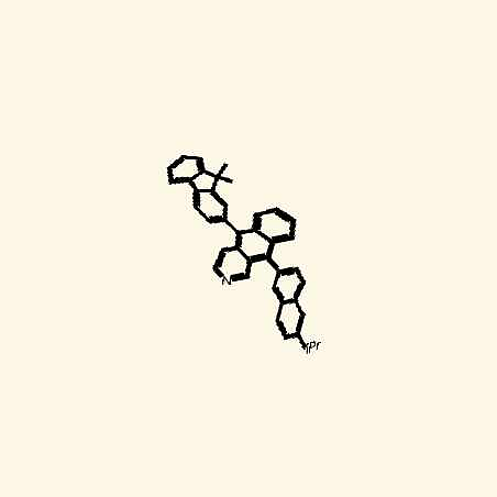 CC(C)c1ccc2cc(-c3c4ccccc4c(-c4ccc5c(c4)C(C)(C)c4ccccc4-5)c4ccncc34)ccc2c1